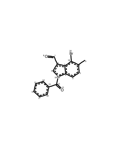 Cc1ccc2c(c(C=O)cn2C(=O)c2ccccc2)c1Br